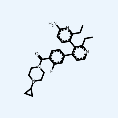 CCc1nc(N)ccc1-c1c(-c2ccc(C(=O)N3CCN(C4CC4)CC3)c(F)c2)ccnc1CC